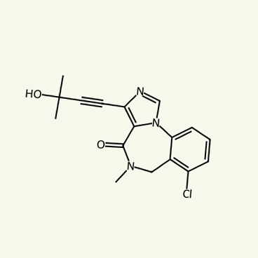 CN1Cc2c(Cl)cccc2-n2cnc(C#CC(C)(C)O)c2C1=O